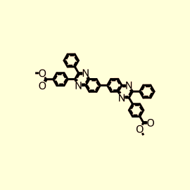 COC(=O)c1ccc(-c2nc3ccc(-c4ccc5nc(-c6ccccc6)c(-c6ccc(C(=O)OC)cc6)nc5c4)cc3nc2-c2ccccc2)cc1